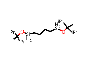 CC(C)C(C)(O[SiH2]CCCC[SiH2]OC(C)(C(C)C)C(C)C)C(C)C